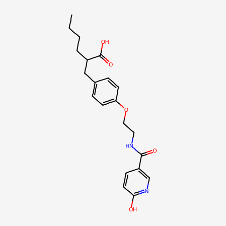 CCCCC(Cc1ccc(OCCNC(=O)c2ccc(O)nc2)cc1)C(=O)O